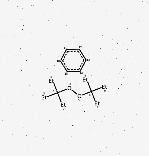 CCC(CC)(CC)OOC(CC)(CC)CC.c1ccccc1